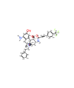 CN(C)c1cc(O)c2c3c1C[C@@H]1[C@@H]4CC[C@@H](N(C)C(=O)C#Cc5ccc(C(F)(F)F)cc5)[C@H](O2)[C@]34CCN1CCc1ccccc1